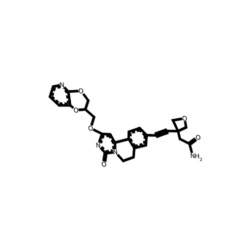 NC(=O)CC1(C#Cc2ccc3c(c2)CCn2c-3cc(OCC3COc4ncccc4O3)nc2=O)COC1